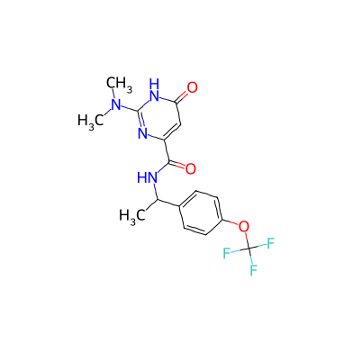 CC(NC(=O)c1cc(=O)[nH]c(N(C)C)n1)c1ccc(OC(F)(F)F)cc1